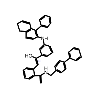 C=C(NCc1ccc(-c2ccccc2)cc1)c1ccccc1/C=C(\O)c1cccc(Nc2ccc3c(c2-c2ccccc2)C=CCC3)c1